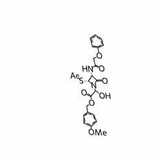 COc1ccc(COC(=O)C(O)N2C(=O)[C@@H](NC(=O)COc3ccccc3)[C@H]2SC(C)=O)cc1